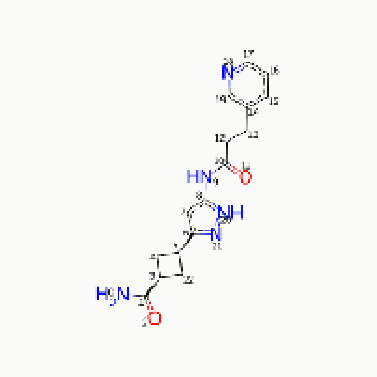 NC(=O)[C@H]1C[C@@H](c2cc(NC(=O)CCc3cccnc3)[nH]n2)C1